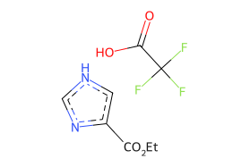 CCOC(=O)c1c[nH]cn1.O=C(O)C(F)(F)F